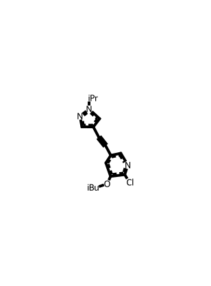 CCC(C)Oc1cc(C#Cc2cnn(C(C)C)c2)cnc1Cl